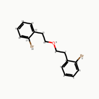 Brc1ccccc1CCOCCc1ccccc1Br